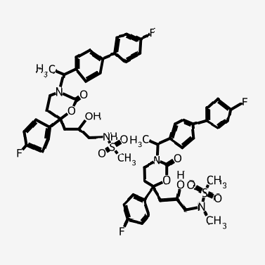 CC(c1ccc(-c2ccc(F)cc2)cc1)N1CCC(CC(O)CN(C)S(C)(=O)=O)(c2ccc(F)cc2)OC1=O.CC(c1ccc(-c2ccc(F)cc2)cc1)N1CCC(CC(O)CNS(C)(=O)=O)(c2ccc(F)cc2)OC1=O